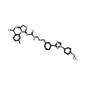 Cc1ccc(C(Cl)I)c(N2C(=O)CS/C2=N\C(=O)NCCCc2cccc(-c3ncn(-c4ccc(OC(F)(F)F)cc4)n3)c2)c1